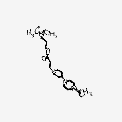 CN(C)CCCOC(=O)CCN1CCC(N2CCN(C)CC2)CC1